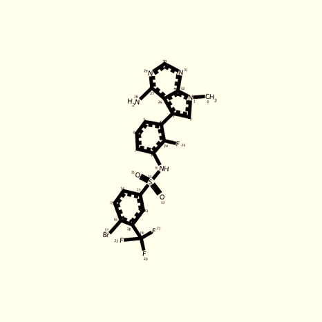 Cn1cc(-c2cccc(NS(=O)(=O)c3ccc(Br)c(C(F)(F)F)c3)c2F)c2c(N)ncnc21